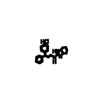 Cl.c1ccc(C(CCNC2=NC3CCCCC3N2)c2ccccc2)cc1